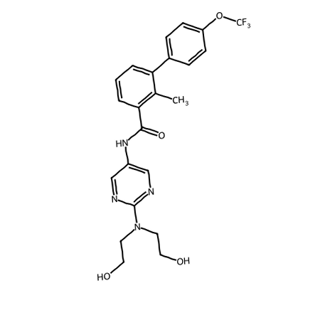 Cc1c(C(=O)Nc2cnc(N(CCO)CCO)nc2)cccc1-c1ccc(OC(F)(F)F)cc1